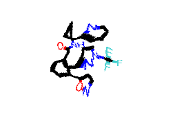 O=C(NC1(c2ccccn2)CC1)c1cccc(-c2ccno2)c1-c1ccn(C(F)(F)F)n1